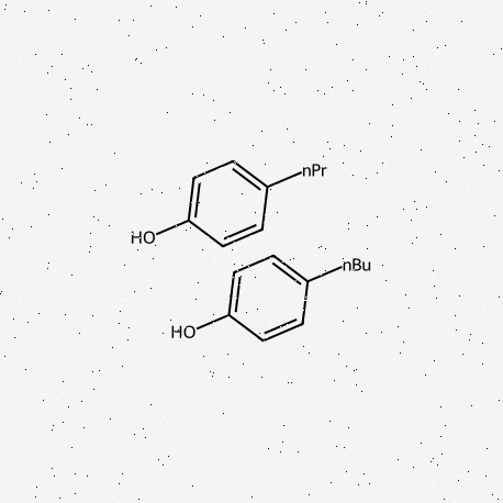 CCCCc1ccc(O)cc1.CCCc1ccc(O)cc1